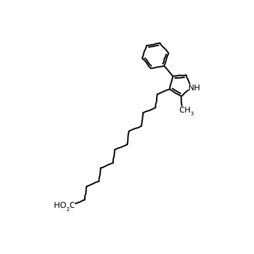 Cc1[nH]cc(-c2ccccc2)c1CCCCCCCCCCCCC(=O)O